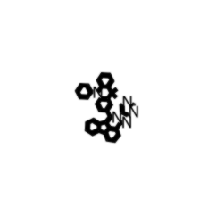 CC1(C)c2ccccc2N(c2ccccc2)c2ccc(-c3c4c5ccccc5c5cccc(c54)c4nc5ncncc5n34)cc21